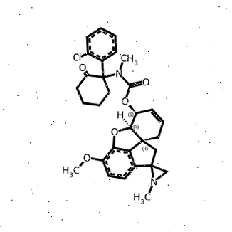 COc1ccc2c3c1O[C@H]1[C@@H](OC(=O)N(C)C4(c5ccccc5Cl)CCCCC4=O)C=CC[C@@]31CC21CN1C